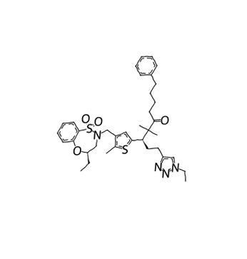 CC[C@@H]1CN(Cc2cc([C@H](CCc3cn(CC)nn3)C(C)(C)C(=O)CCCCc3ccccc3)sc2C)S(=O)(=O)c2ccccc2O1